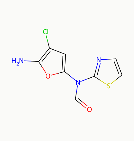 Nc1oc(N(C=O)c2nccs2)cc1Cl